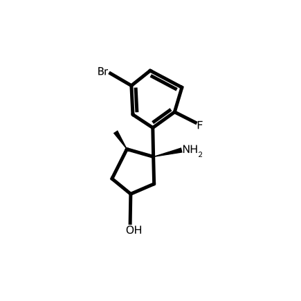 C[C@@H]1CC(O)C[C@@]1(N)c1cc(Br)ccc1F